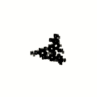 [2H]C([2H])([2H])NC(=O)c1cnc(Nc2cc(C)nc(C)n2)cc1Nc1cccc2c1N(C)Cc1nn(C)c(=O)n1-2